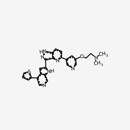 CN(C)CCOc1cncc(-c2ccc3[nH]nc(-c4cc5c(-c6cccs6)cncc5[nH]4)c3n2)c1